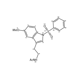 COc1ccc2c(c1)c(CCNC(C)=O)cn2S(=O)(=O)c1ccccc1